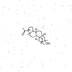 COC[C@]12CCC(C)(O)C[C@H]1CC[C@H]1[C@@H]3CC[C@H](C(C)=O)[C@@]3(C)CC[C@@H]12